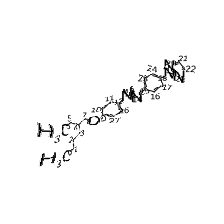 CCCCC(CC)COc1ccc(N=Nc2ccc(-n3nccn3)cc2)cc1